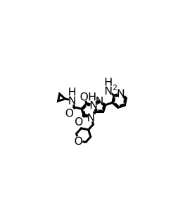 Nc1ncccc1-c1cc2n(CC3CCOCC3)c(=O)c(C(=O)NC3CC3)c(O)n2n1